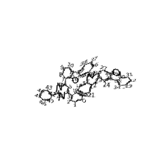 c1ccc(-c2cc(-c3cccc4c3oc3c(-n5c6ccccc6c6cc7c(cc65)oc5ccccc57)cccc34)nc(-c3ccccc3)n2)cc1